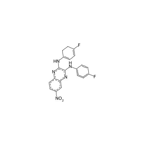 O=[N+]([O-])c1ccc2nc(NC3=CC=C(F)CC3)c(NC3=C=C=C(F)C=C3)nc2c1